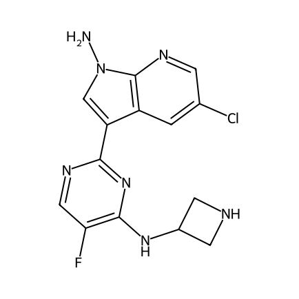 Nn1cc(-c2ncc(F)c(NC3CNC3)n2)c2cc(Cl)cnc21